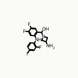 NC1CN(C(O)c2cc(F)c(F)cc2Nc2ccc(I)cc2F)C1